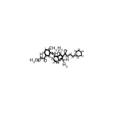 CONC(=O)c1ccc(C)c(Nc2ncnn3c(C)c(C(=O)NCCN4CCCCC4)c(C)c23)c1